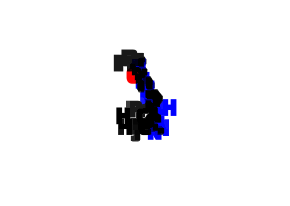 Cc1c(-c2[nH]c3ccc(N4CCN(C(=O)CN(CC(C)C)CC(C)C)CC4)nc3c2C(C)C)cn2ncnc2c1C